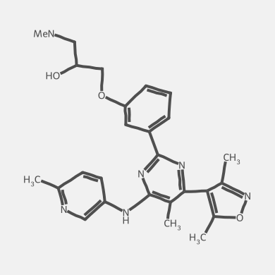 CNCC(O)COc1cccc(-c2nc(Nc3ccc(C)nc3)c(C)c(-c3c(C)noc3C)n2)c1